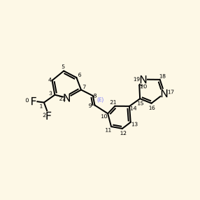 FC(F)c1cccc(/C=C/c2cccc(-c3cncnc3)c2)n1